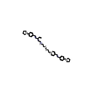 C=CC(/C=C/c1ccc(N2CCCC2)cc1)=C\C=N\CCSSCC[n+]1ccc(/C=C/c2ccc(N3CCCC3)cc2)cc1